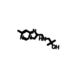 CC1=CC2=NC(CNCC(C)(C)O)CN2C=N1